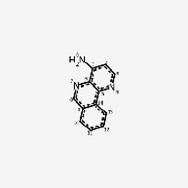 Nc1ccnc2c1ncc1ccccc12